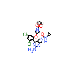 CC(C)(C)OC(=O)N1CC(Oc2cc(Cl)cc(Cl)c2-c2nc(N)nc3c2CN(C(=O)NC2CC2)C3)C1